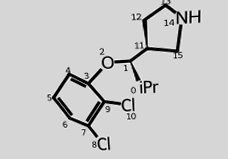 CC(C)[C@@H](Oc1cccc(Cl)c1Cl)[C@H]1CCNC1